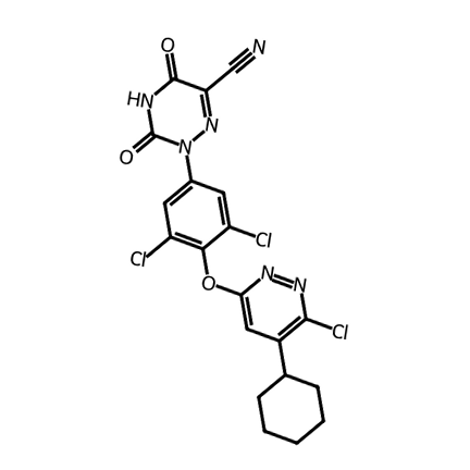 N#Cc1nn(-c2cc(Cl)c(Oc3cc(C4CCCCC4)c(Cl)nn3)c(Cl)c2)c(=O)[nH]c1=O